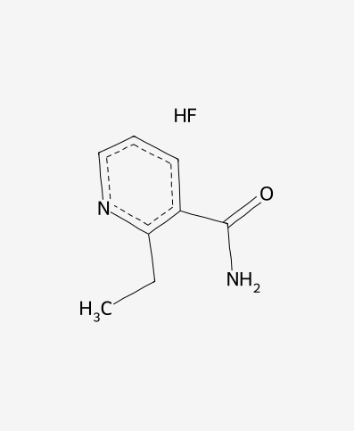 CCc1ncccc1C(N)=O.F